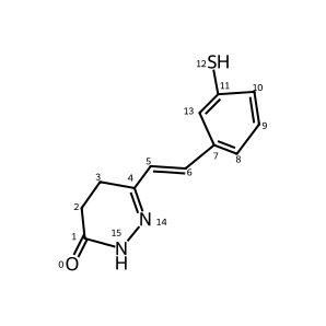 O=C1CCC(C=Cc2cccc(S)c2)=NN1